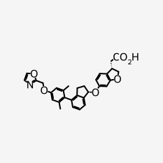 Cc1cc(OCc2ncco2)cc(C)c1-c1cccc2c1CC[C@H]2Oc1ccc2c(c1)OC[C@H]2CC(=O)O